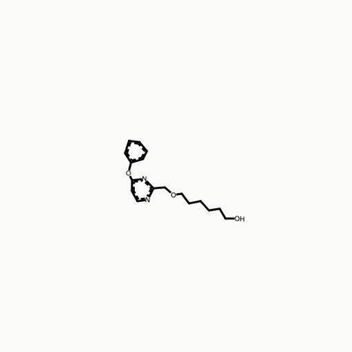 OCCCCCCOCc1nccc(Oc2ccccc2)n1